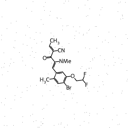 C/C=C(\C#N)C(=O)/C(=C/c1cc(OCC(F)F)c(Br)cc1C)NC